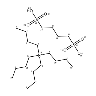 CCCC[N+](CCCC)(CCCC)CCCC.O=S(=O)(O)CCCCS(=O)(=O)O